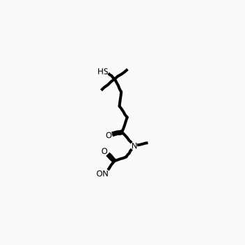 CN(CC(=O)N=O)C(=O)CCCC(C)(C)S